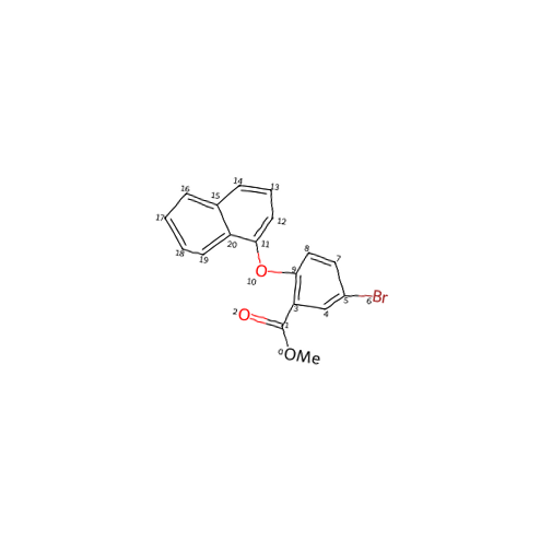 COC(=O)c1cc(Br)ccc1Oc1cccc2ccccc12